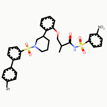 CC(COc1ccccc1C1CCCN(S(=O)(=O)c2cccc(-c3ccc(C(C)C)cc3)c2)C1)C(=O)NS(=O)(=O)c1cccc([N+](=O)[O-])c1